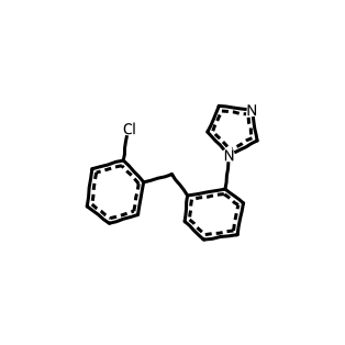 Clc1ccccc1Cc1ccccc1-n1ccnc1